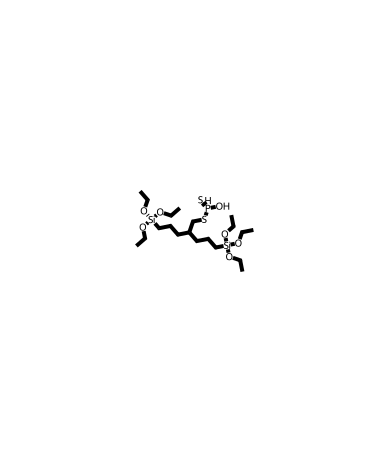 CCO[Si](CCCC(CCC[Si](OCC)(OCC)OCC)CS[PH](O)=S)(OCC)OCC